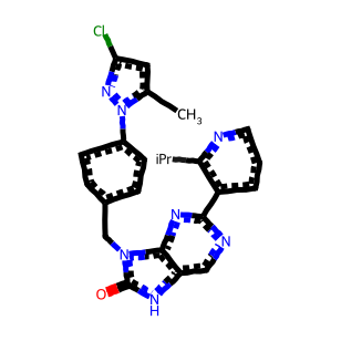 Cc1cc(Cl)nn1-c1ccc(Cn2c(=O)[nH]c3cnc(-c4cccnc4C(C)C)nc32)cc1